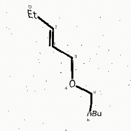 CCC=CCOCCCCC